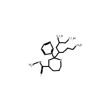 NNC(=O)C1CCCOC(c2ccccc2)(C(CCCC(=O)O)CC(CC(=O)O)C(=O)O)C1